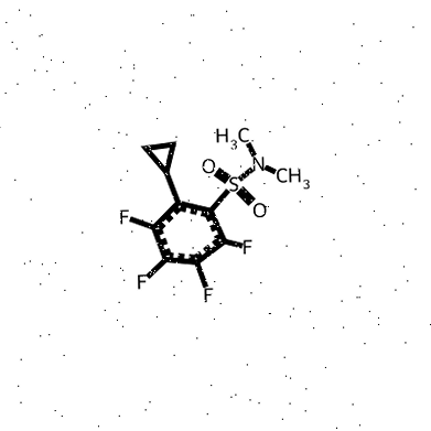 CN(C)S(=O)(=O)c1c(F)c(F)c(F)c(F)c1C1CC1